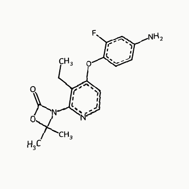 CCc1c(Oc2ccc(N)cc2F)ccnc1N1C(=O)OC1(C)C